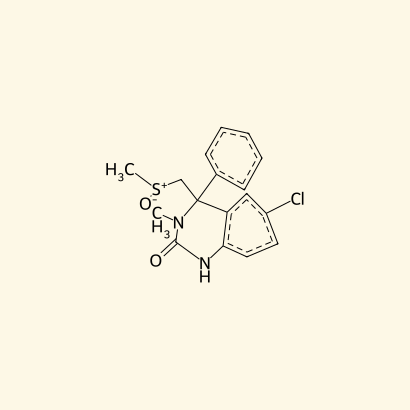 CN1C(=O)Nc2ccc(Cl)cc2C1(C[S+](C)[O-])c1ccccc1